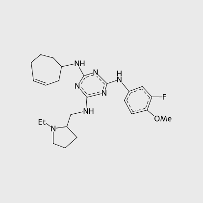 CCN1CCCC1CNc1nc(Nc2ccc(OC)c(F)c2)nc(NC2CC=CCCC2)n1